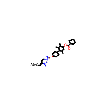 CO/C=C(\C=C/NCOc1ccc(-c2c(C)cc(OC(=O)c3ccccc3)c(C)c2C)cc1)N(C)C